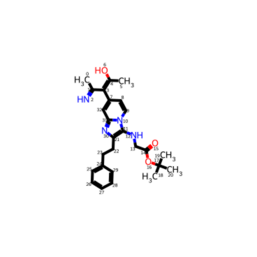 CC(=N)/C(=C(/C)O)c1ccn2c(NCC(=O)OC(C)(C)C)c(CCc3ccccc3)nc2c1